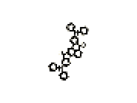 O=C1c2cc(N(c3ccccc3)c3ccccc3)ccc2-c2c1cc1c3c(cccc23)C(=O)c2cc(N(c3ccccc3)c3ccccc3)ccc2-1